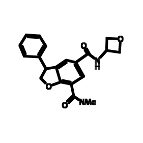 CNC(=O)c1cc(C(=O)NC2COC2)cc2c1OCC2c1ccccc1